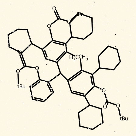 Cc1c(C(c2ccccc2OC(=O)OC(C)(C)C)c2cc(C3CCCCC3)c(OC(=O)OC(C)(C)C)c(C3CCCCC3)c2C)cc(C2CCCCC2)c(OC(=O)OC(C)C)c1C1CCCCC1